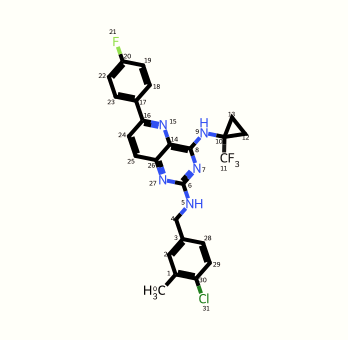 Cc1cc(CNc2nc(NC3(C(F)(F)F)CC3)c3nc(-c4ccc(F)cc4)ccc3n2)ccc1Cl